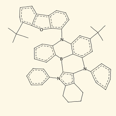 CC(C)(C)c1cc2c3c(c1)N(c1cccc4c1oc1c(C(C)(C)C)cccc14)c1ccccc1B3c1c(c3c(n1-c1ccccc1)CCCC3)N2c1ccccc1